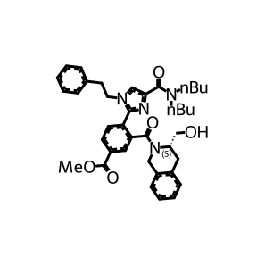 CCCCN(CCCC)C(=O)c1cn(CCc2ccccc2)c(-c2ccc(C(=O)OC)cc2C(=O)N2Cc3ccccc3C[C@H]2CO)n1